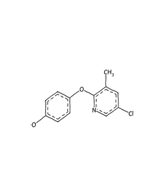 Cc1cc(Cl)cnc1Oc1ccc([O])cc1